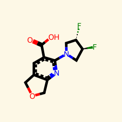 O=C(O)c1cc2c(nc1N1C[C@H](F)[C@@H](F)C1)COC2